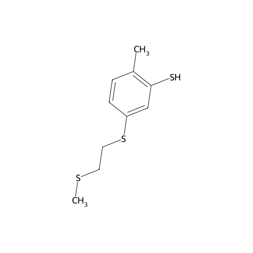 CSCCSc1ccc(C)c(S)c1